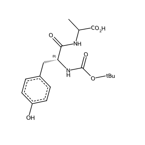 CC(NC(=O)[C@@H](Cc1ccc(O)cc1)NC(=O)OC(C)(C)C)C(=O)O